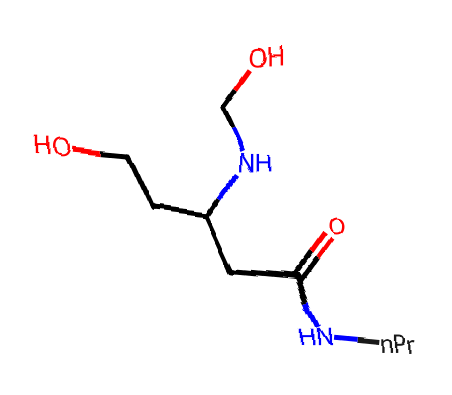 CCCNC(=O)CC(CCO)NCO